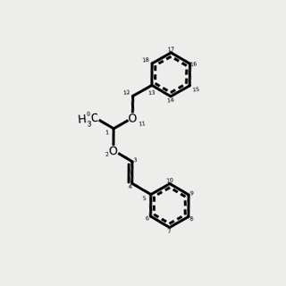 CC(OC=Cc1ccccc1)OCc1ccccc1